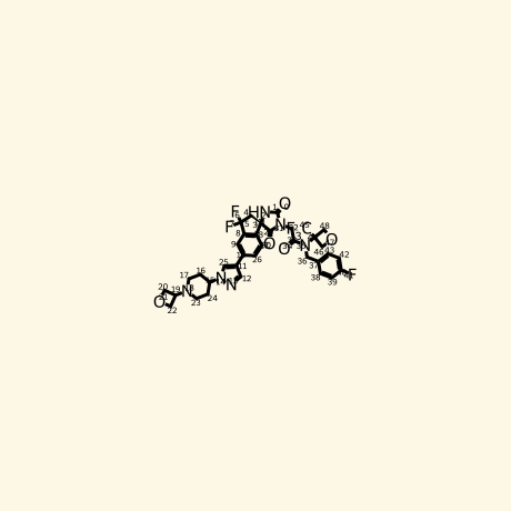 O=C1N[C@]2(CC(F)(F)c3cc(-c4cnn(C5CCN(C6COC6)CC5)c4)ccc32)C(=O)N1CC(=O)N(Cc1ccc(F)cc1)C1(C(F)(F)F)COC1